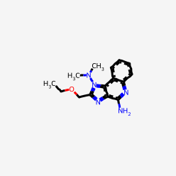 CCOCc1nc2c(N)nc3ccccc3c2n1N(C)C